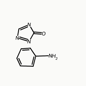 Nc1ccccc1.O=C1N=CN=N1